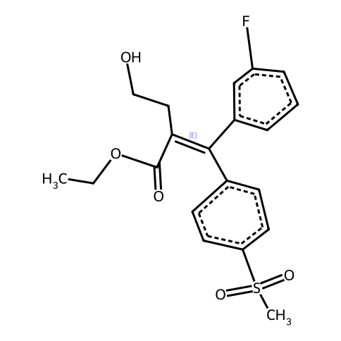 CCOC(=O)/C(CCO)=C(\c1ccc(S(C)(=O)=O)cc1)c1cccc(F)c1